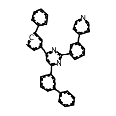 c1ccc(-c2cccc(-c3cc(-c4cccc(-c5ccccc5)c4)nc(-c4cccc(-c5ccncc5)c4)n3)c2)cc1